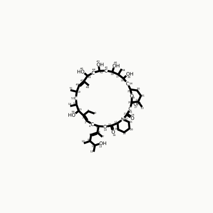 CC/C1=C\CC(/C(C)=C/C(C)C(C)O)OC(=O)C2CCCCN2C(=O)CC2(O)OC(CCC2C)CC(O)C(C)C(O)CC(O)CC(O)/C(C)=C/C(C)CC(C)C1O